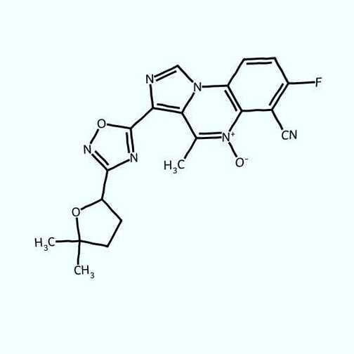 Cc1c2c(-c3nc(C4CCC(C)(C)O4)no3)ncn2c2ccc(F)c(C#N)c2[n+]1[O-]